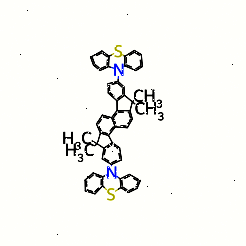 CC1(C)c2cc(N3c4ccccc4Sc4ccccc43)ccc2-c2c1ccc1c3c(ccc21)C(C)(C)c1cc(N2c4ccccc4Sc4ccccc42)ccc1-3